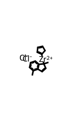 Cc1cccc2c1C=C[C]2(C)[Zr+2][C]1=CC=CC1.[Cl-].[Cl-]